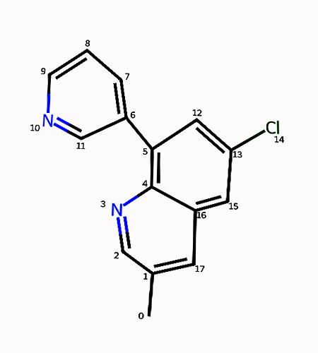 Cc1cnc2c(-c3cccnc3)cc(Cl)cc2c1